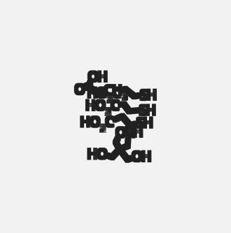 CCC(=O)O.O=C(O)CCS.O=C(O)CCS.O=C(O)CCS.OCC(CO)(CO)CO